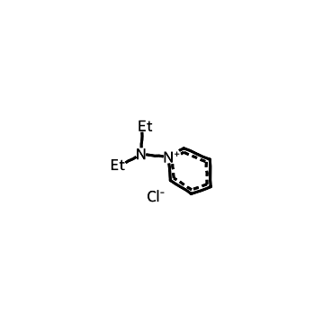 CCN(CC)[n+]1ccccc1.[Cl-]